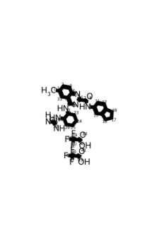 Cc1ccc2nc(C(=O)Nc3ccc4c(c3)CCC4)nc(NC3CCCCC3NC(=N)N)c2c1.O=C(O)C(F)(F)F.O=C(O)C(F)(F)F